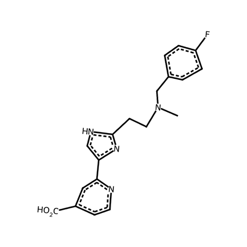 CN(CCc1nc(-c2cc(C(=O)O)ccn2)c[nH]1)Cc1ccc(F)cc1